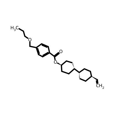 C=C[C@H]1CC[C@H]([C@H]2CC[C@H](OC(=O)c3ccc(COCCC)cc3)CC2)CC1